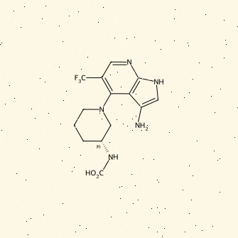 Nc1c[nH]c2ncc(C(F)(F)F)c(N3CCC[C@@H](NC(=O)O)C3)c12